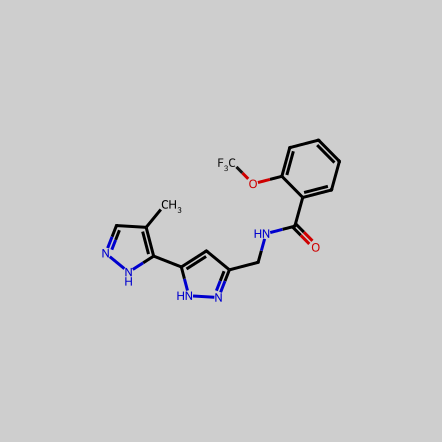 Cc1cn[nH]c1-c1cc(CNC(=O)c2ccccc2OC(F)(F)F)n[nH]1